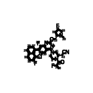 CC(F)C(=O)N1CCN(c2nc(OC[C@@H]3C[C@H](F)CN3C)nc3c(F)c(-c4cccc5ccc(F)c(Cl)c45)ncc23)C[C@@H]1CC#N